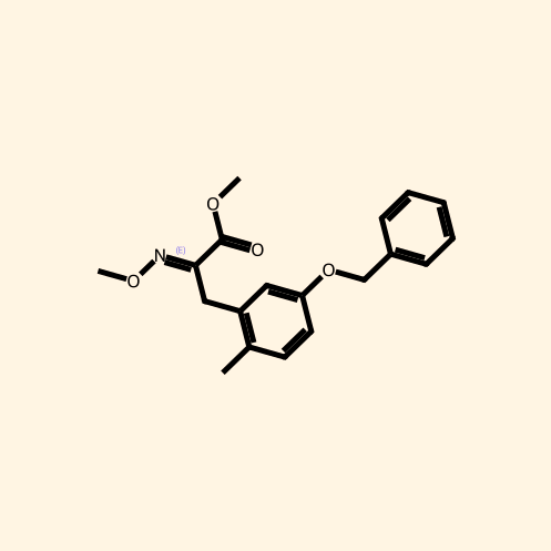 CO/N=C(\Cc1cc(OCc2ccccc2)ccc1C)C(=O)OC